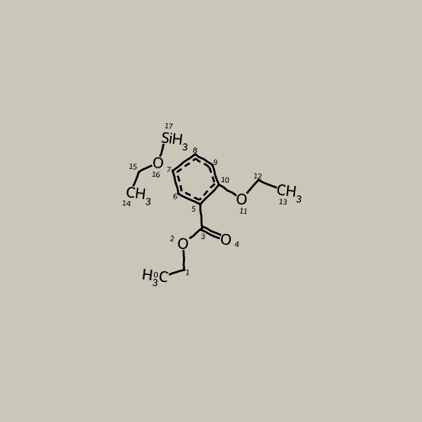 CCOC(=O)c1ccccc1OCC.CCO[SiH3]